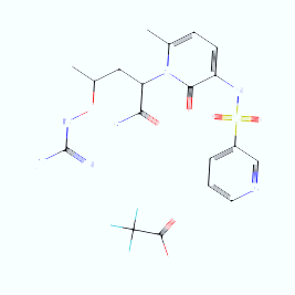 Cc1ccc(NS(=O)(=O)c2cccnc2)c(=O)n1C(CC(C)ONC(=N)N)C(N)=O.O=C(O)C(F)(F)F